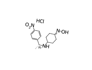 C[C@@H](NC1CCC(=NO)CC1)c1ccc([N+](=O)[O-])cc1.Cl